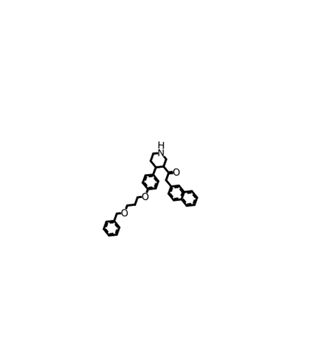 O=C(Cc1ccc2ccccc2c1)C1CNCCC1c1ccc(OCCCOCc2ccccc2)cc1